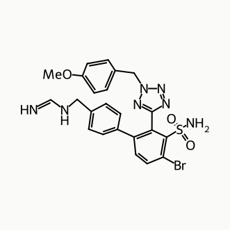 COc1ccc(Cn2nnc(-c3c(-c4ccc(CNC=N)cc4)ccc(Br)c3S(N)(=O)=O)n2)cc1